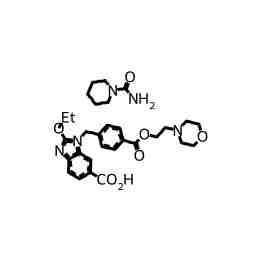 CCOc1nc2ccc(C(=O)O)cc2n1Cc1ccc(C(=O)OCCN2CCOCC2)cc1.NC(=O)N1CCCCC1